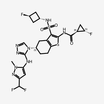 Cn1nc(C(F)F)cc1Nc1nncn1[C@H]1CCc2sc(NC(=O)[C@H]3C[C@@H]3F)c(S(=O)(=O)N[C@H]3C[C@H](F)C3)c2C1